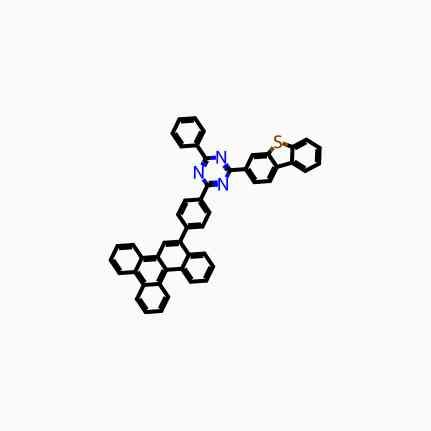 c1ccc(-c2nc(-c3ccc(-c4cc5c6ccccc6c6ccccc6c5c5ccccc45)cc3)nc(-c3ccc4c(c3)sc3ccccc34)n2)cc1